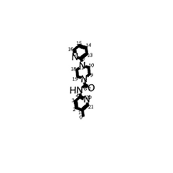 Cc1ccc(NC(=O)N2CCN(c3ccccn3)CC2)nc1